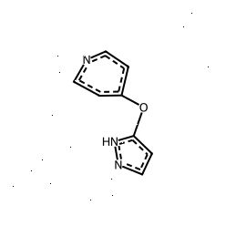 c1cc(Oc2ccn[nH]2)ccn1